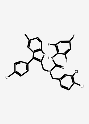 Cc1ccc2oc(CN(Cc3ccc(Cl)c(Cl)c3)C(=O)Nc3c(F)cc(F)cc3F)c(-c3ccc(Cl)cc3)c2c1